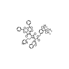 CC(C)(C)c1cc(COC(=O)C(N(C=O)Cc2ccccc2)N2C(=O)C(N3C(=O)C(OC(=O)c4ccccc4)C(OC(=O)c4ccccc4)C3=O)C2CCc2ccncn2)ccc1Cl